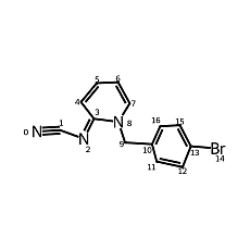 N#C/N=c1\ccccn1Cc1ccc(Br)cc1